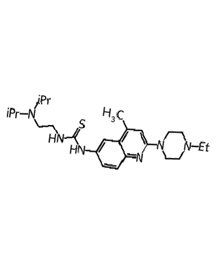 CCN1CCN(c2cc(C)c3cc(NC(=S)NCCN(C(C)C)C(C)C)ccc3n2)CC1